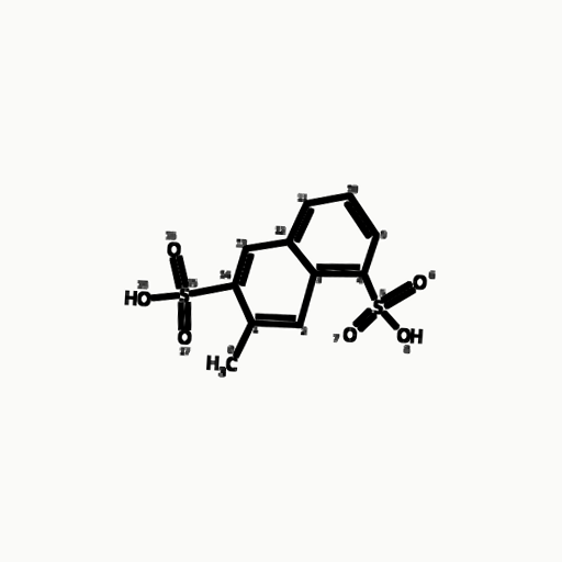 Cc1cc2c(S(=O)(=O)O)cccc2cc1S(=O)(=O)O